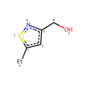 CCc1cc(CO)ns1